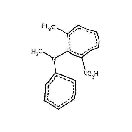 Cc1cccc(C(=O)O)c1N(C)c1ccccc1